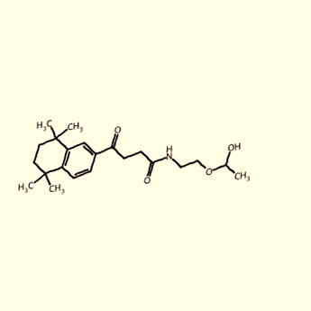 CC(O)OCCNC(=O)CCC(=O)c1ccc2c(c1)C(C)(C)CCC2(C)C